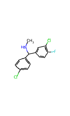 CNC(c1ccc(Cl)cc1)c1ccc(F)c(Cl)c1